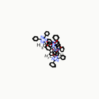 Cc1ccc(-n2c3ccccc3c3ccc4c5ccccc5n(C5(n6c7ccccc7c7ccc8c9ccccc9n(-c9ccc(C)cc9C)c8c76)c6cc(-c7nc(-c8ccccc8)nc(-c8ccccc8)n7)ccc6-c6ccc(-c7nc(-c8ccccc8)nc(-c8ccccc8)n7)cc65)c4c32)c(C)c1